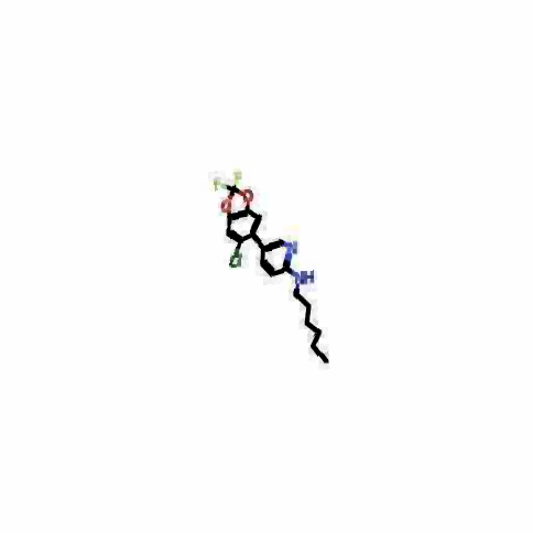 CCCCCCNc1ccc(-c2cc3c(cc2Cl)OC(F)(F)O3)cn1